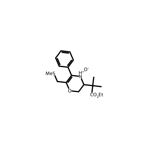 CCOC(=O)C(C)(C)C1COC(CSC)=C(c2ccccc2)[NH+]1[O-]